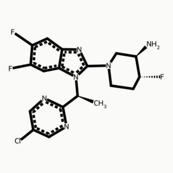 C[C@@H](c1ncc(Cl)cn1)n1c(N2CC[C@@H](F)[C@H](N)C2)nc2cc(F)c(F)cc21